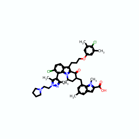 Cc1cc(CC2C[C@@H](C)n3c(c(CCCOc4cc(C)c(Cl)c(C)c4)c4ccc(Cl)c(-c5c(C)nn(CCN6CCCC6)c5C)c43)C2=O)c2c(c1)cc(C(=O)O)n2C